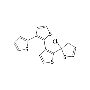 ClC1(c2sccc2-c2sccc2-c2cccs2)CC=CS1